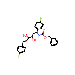 O=C(NC(CC(O)C(O)CCc1ccc(F)cc1)c1ccc(F)cc1)OCc1ccccc1